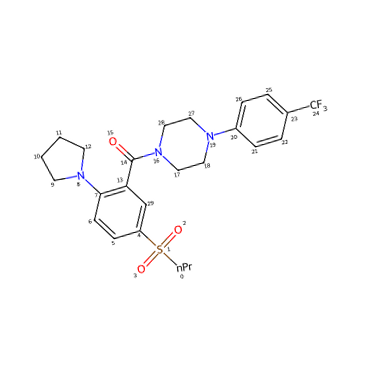 CCCS(=O)(=O)c1ccc(N2CCCC2)c(C(=O)N2CCN(c3ccc(C(F)(F)F)cc3)CC2)c1